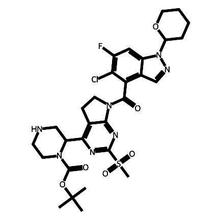 CC(C)(C)OC(=O)N1CCNCC1c1nc(S(C)(=O)=O)nc2c1CCN2C(=O)c1c(Cl)c(F)cc2c1cnn2C1CCCCO1